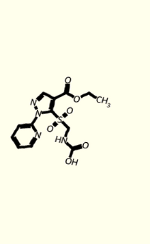 CCOC(=O)c1cnn(-c2ccccn2)c1S(=O)(=O)CNC(=O)O